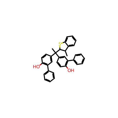 CC1c2ccccc2SC1C(C)(c1ccc(O)c(-c2ccccc2)c1)c1ccc(O)c(-c2ccccc2)c1